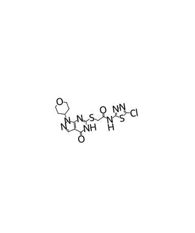 O=C(CSc1nc2c(cnn2C2CCOCC2)c(=O)[nH]1)Nc1nnc(Cl)s1